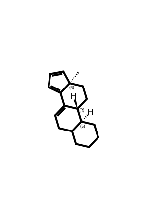 C[C@@]12C=CC=C1C1=CCC3CCCC[C@@H]3[C@H]1CC2